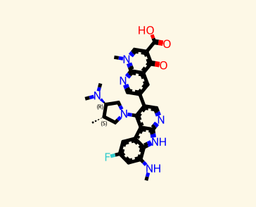 CNc1cc(F)cc2c1[nH]c1ncc(-c3cnc4c(c3)c(=O)c(C(=O)O)cn4C)c(N3C[C@H](C)[C@@H](N(C)C)C3)c12